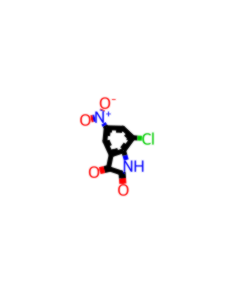 O=C1Nc2c(Cl)cc([N+](=O)[O-])cc2C1=O